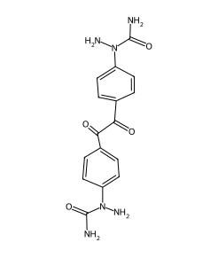 NC(=O)N(N)c1ccc(C(=O)C(=O)c2ccc(N(N)C(N)=O)cc2)cc1